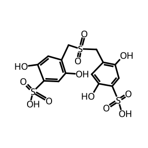 O=S(=O)(Cc1cc(O)c(S(=O)(=O)O)cc1O)Cc1cc(O)c(S(=O)(=O)O)cc1O